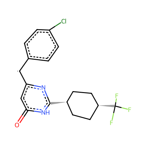 O=c1cc([CH]c2ccc(Cl)cc2)nc([C@H]2CC[C@@H](C(F)(F)F)CC2)[nH]1